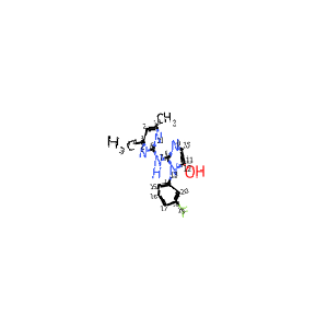 Cc1cc(C)nc(Nc2ncc(O)n2-c2cccc(F)c2)n1